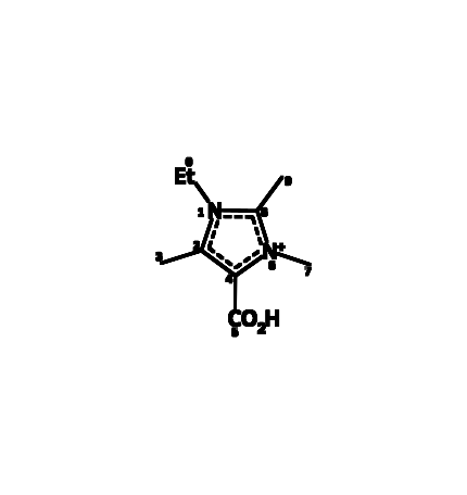 CCn1c(C)c(C(=O)O)[n+](C)c1C